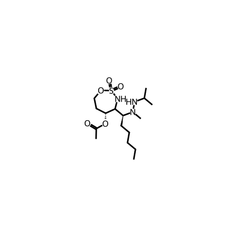 CCCCC[C@@H](C1NS(=O)(=O)OCC[C@H]1OC(C)=O)N(C)NC(C)C